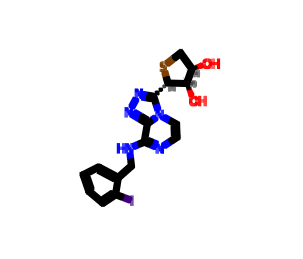 O[C@@H]1[C@H](O)CS[C@H]1c1nnc2c(NCc3ccccc3I)nccn12